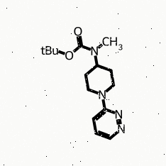 CN(C(=O)OC(C)(C)C)C1CCN(c2cccnn2)CC1